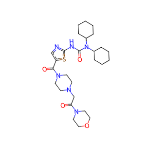 O=C(CN1CCN(C(=O)c2cnc(NC(=O)N(C3CCCCC3)C3CCCCC3)s2)CC1)N1CCOCC1